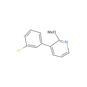 COc1ncccc1-c1cc[c]c(F)c1